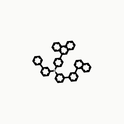 c1ccc(-c2cccc(N(c3ccc(-c4cc5ccccc5c5ccccc45)cc3)c3cccc(-c4cccc(-c5cccc6ccccc56)c4)c3)c2)cc1